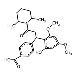 COc1cc(O)c(C(CC(=O)N2C(C)CCCC2C)c2ccc(C(=O)O)cc2)c(OC)c1